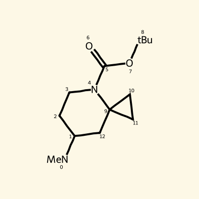 CNC1CCN(C(=O)OC(C)(C)C)C2(CC2)C1